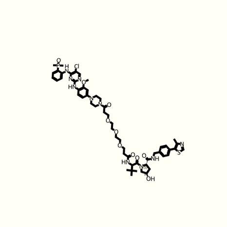 COc1cc(N2CCN(C(=O)CCOCCOCCOCCC(=O)NC(C(=O)N3C[C@H](O)C[C@H]3C(=O)NCc3ccc(-c4scnc4C)cc3)C(C)(C)C)CC2)ccc1Nc1ncc(Cl)c(Nc2ccccc2P(C)(C)=O)n1